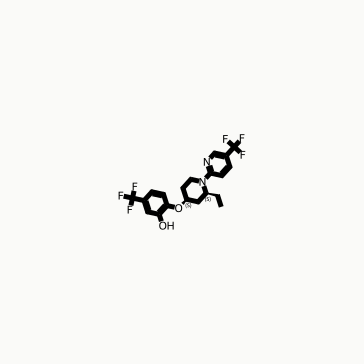 CC[C@H]1C[C@@H](Oc2ccc(C(F)(F)F)cc2O)CCN1c1ccc(C(F)(F)F)cn1